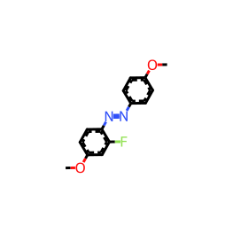 COc1ccc(N=Nc2ccc(OC)cc2F)cc1